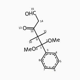 COC(OC)(c1ccccc1)C(C)(C)C(=O)CC=O